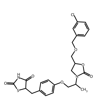 CC(COc1ccc(CC2SC(=O)NC2=O)cc1)N1CC(COCc2cccc(Cl)c2)OC1=O